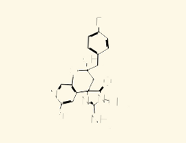 CN1C(=O)C2(C[C@@](C)(Cc3ccc(F)cc3)Oc3cnc(Br)cc32)N=C1N